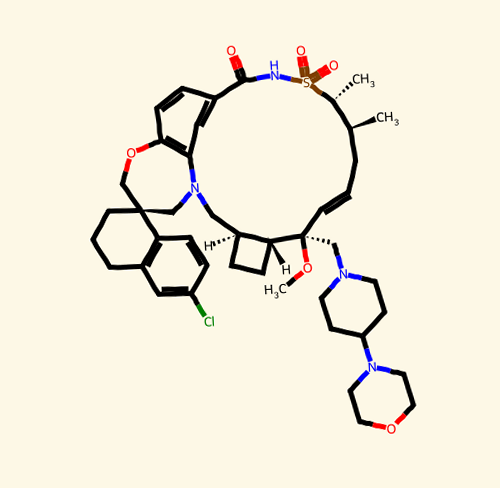 CO[C@]1(CN2CCC(N3CCOCC3)CC2)/C=C/C[C@H](C)[C@@H](C)S(=O)(=O)NC(=O)c2ccc3c(c2)N(C[C@@H]2CC[C@H]21)C[C@@]1(CCCc2cc(Cl)ccc21)CO3